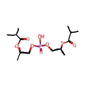 CC(COP(=O)(O)OCC(C)OC(=O)C(C)C)OC(=O)C(C)C